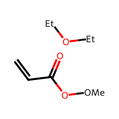 C=CC(=O)OOC.CCOCC